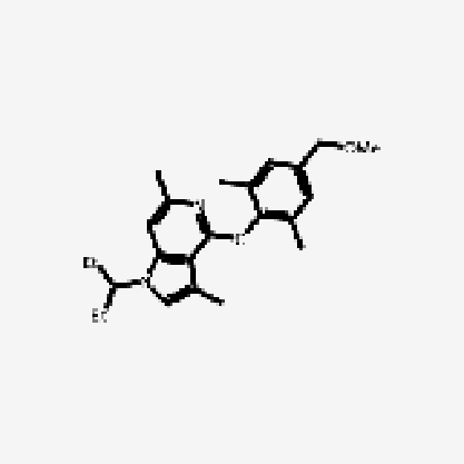 CCC(CC)n1cc(C)c2c(Oc3c(C)cc(COC)cc3C)nc(C)cc21